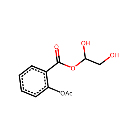 CC(=O)Oc1ccccc1C(=O)OC(O)CO